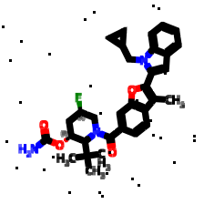 Cc1c(-c2cc3ccccc3n2CC2CC2)oc2cc(C(=O)N3C[C@H](F)C[C@@H](OC(N)=O)C3C(C)(C)C)ccc12